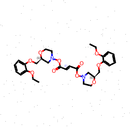 CCOc1ccccc1OC[C@@H]1CN(OC(=O)/C=C/C(=O)ON2CCO[C@H](COc3ccccc3OCC)C2)CCO1